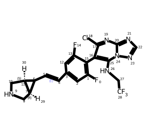 Fc1cc(/C=C/C2[C@H]3CNC[C@@H]23)cc(F)c1-c1c(Cl)nc2ncnn2c1NCC(F)(F)F